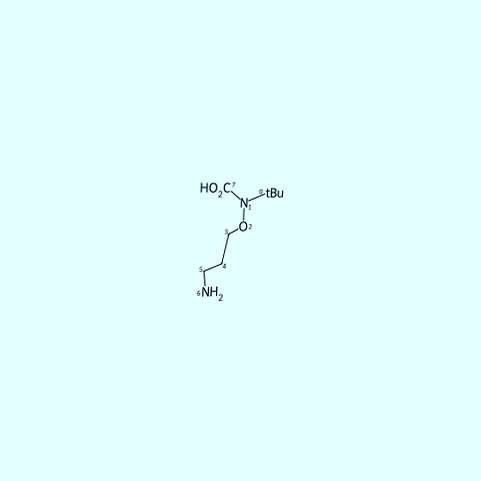 CC(C)(C)N(OCCCN)C(=O)O